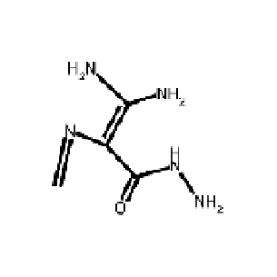 C=NC(C(=O)NN)=C(N)N